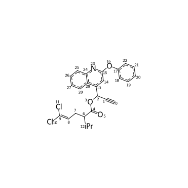 C#CC(OC(=O)C(CC=C(Cl)Cl)C(C)C)c1cc(Oc2ccccc2)nc2ccccc12